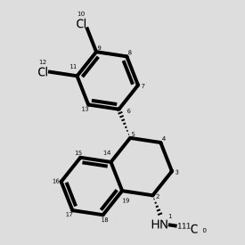 [111CH3]N[C@H]1CC[C@@H](c2ccc(Cl)c(Cl)c2)c2ccccc21